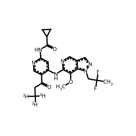 [2H]C([2H])([2H])CC(=O)c1cnc(NC(=O)C2CC2)cc1Nc1ncc2cnn(CC(C)(F)F)c2c1OC